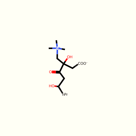 CCCC(O)CC(=O)C(O)(CC(=O)[O-])C[N+](C)(C)C